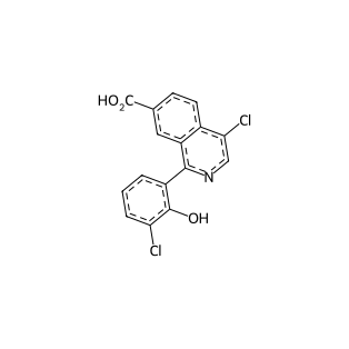 O=C(O)c1ccc2c(Cl)cnc(-c3cccc(Cl)c3O)c2c1